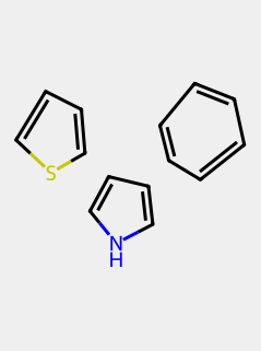 c1cc[nH]c1.c1ccccc1.c1ccsc1